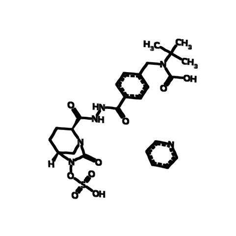 CC(C)(C)N(Cc1ccc(C(=O)NNC(=O)[C@@H]2CC[C@@H]3CN2C(=O)N3OS(=O)(=O)O)cc1)C(=O)O.c1ccncc1